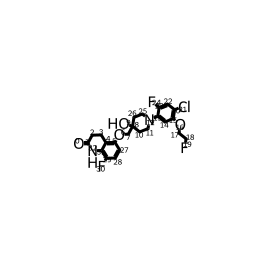 O=C1CCc2c(OCC3(O)CCN(c4cc(OCCF)c(Cl)cc4F)CC3)ccc(F)c2N1